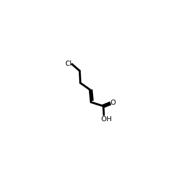 O=C(O)/C=C/CCCl